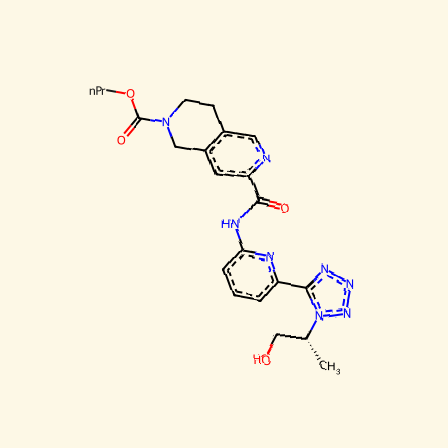 CCCOC(=O)N1CCc2cnc(C(=O)Nc3cccc(-c4nnnn4[C@H](C)CO)n3)cc2C1